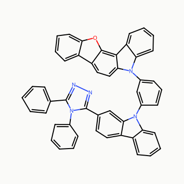 c1ccc(-c2nnc(-c3ccc4c5ccccc5n(-c5cccc(-n6c7ccccc7c7c8oc9ccccc9c8ccc76)c5)c4c3)n2-c2ccccc2)cc1